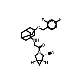 N#C[C@@H]1[C@@H]2C[C@@H]2CN1C(=O)CNC12CC3CC(C1)CC(OCc1ccc(F)cc1F)(C3)C2